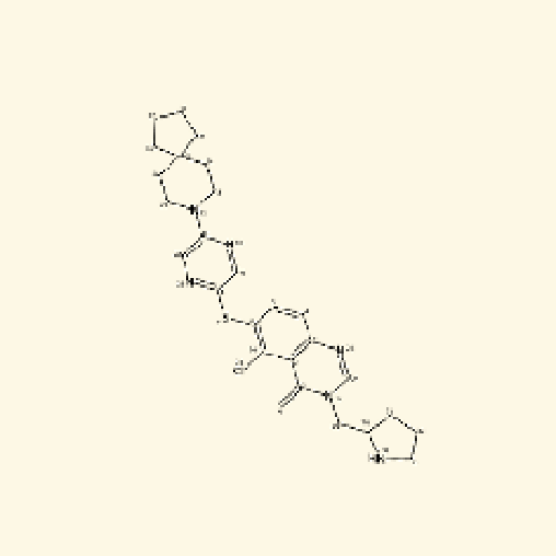 C=C1c2c(ccc(Sc3cnc(N4CCC5(CCCC5)CC4)cn3)c2Cl)N=CN1CC1CCCN1